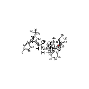 Cc1ccc(-n2nc(C(C)(C)C)cc2NC(=O)Nc2ccc(CC3CC4CCC(C3)N4C(=O)c3c(-c4ccccc4)noc3C)cc2)cc1